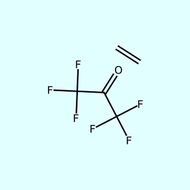 C=C.O=C(C(F)(F)F)C(F)(F)F